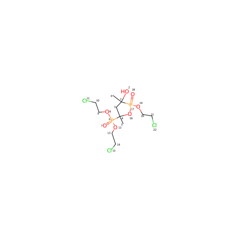 CC1(O)CC(C)(P(=O)(OCCCl)OCCCl)OP1(=O)OCCCl